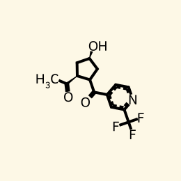 CC(=O)[C@H]1C[C@@H](O)CC1C(=O)c1ccnc(C(F)(F)F)c1